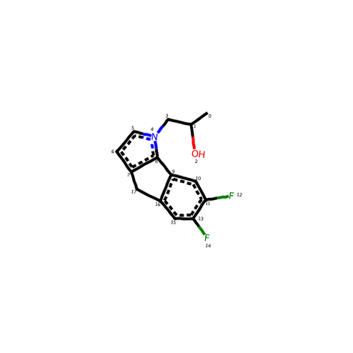 CC(O)Cn1ccc2c1-c1cc(F)c(F)cc1C2